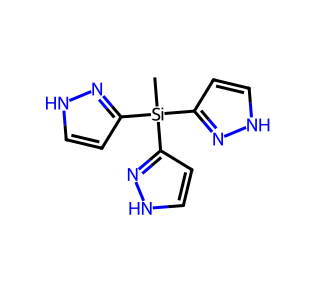 C[Si](c1cc[nH]n1)(c1cc[nH]n1)c1cc[nH]n1